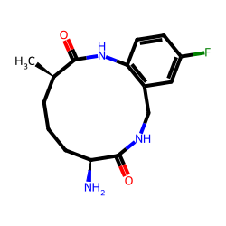 C[C@@H]1CCC[C@H](N)C(=O)NCc2cc(F)ccc2NC1=O